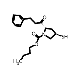 CCCCOC(=O)N1C[C@H](S)C[C@H]1C(=O)CCc1ccccc1